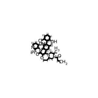 C=CC(=O)N1CC2CCOc3c(c4cc(F)c(-c5c(O)cccc5Cl)c(F)c4n(-c4c(C)ccnc4C(C)C)c3=O)N2CC1C